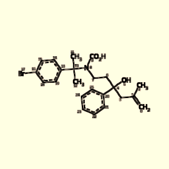 C=C(C)CC(O)(CCN(C(=O)O)C(C)(C)c1ccc(Br)cc1)c1ccccc1